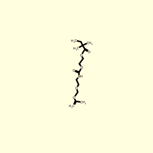 C=C(C)OCOCCNC(=O)OCCOC(=O)C(C)(C)CC